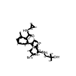 Cc1cccc(-c2cnc3c(NCC(C)(C)O)nc(Br)cn23)c1C(=O)NC1CC1